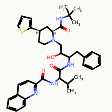 CC(C)C(NC(=O)c1ccc2ccccc2n1)C(=O)NC(Cc1ccccc1)C(O)CN1CC[C@@H](c2cccs2)C[C@H]1C(=O)NC(C)(C)C